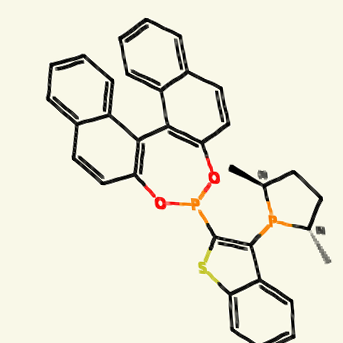 C[C@H]1CC[C@H](C)P1c1c(-p2oc3ccc4ccccc4c3c3c(ccc4ccccc43)o2)sc2ccccc12